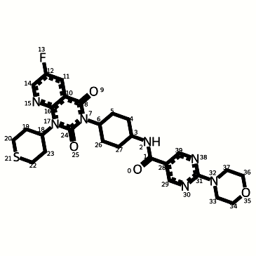 O=C(NC1CCC(n2c(=O)c3cc(F)cnc3n(C3CCSCC3)c2=O)CC1)c1cnc(N2CCOCC2)nc1